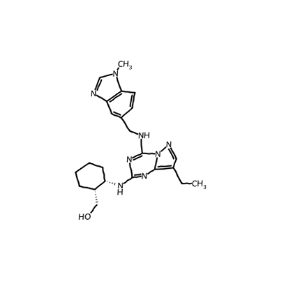 CCc1cnn2c(NCc3ccc4c(c3)ncn4C)nc(N[C@H]3CCCC[C@H]3CO)nc12